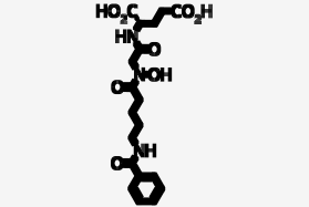 O=C(O)CC[C@H](NC(=O)CN(O)C(=O)CCCCNC(=O)c1ccccc1)C(=O)O